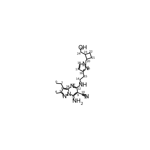 CCc1c(C)nn2c(N)c(C#N)c(NCCc3ccn(C4CCC4CO)n3)nc12